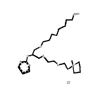 CCCCCCCCCCCCCCCCCCOCC(CSCCOCC[N+]1(C)CCCC1)Oc1ncccn1.[Cl-]